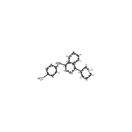 Cc1ccc(Nc2nnc(-c3ccccc3)c3ccccc23)cc1